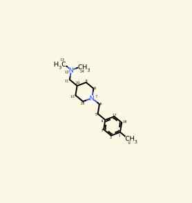 Cc1[c]cc(CCN2CCC(CN(C)C)CC2)cc1